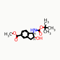 COC(=O)c1ccc2c(c1)C[C@H](O)[C@@H]2NC(=O)OC(C)(C)C